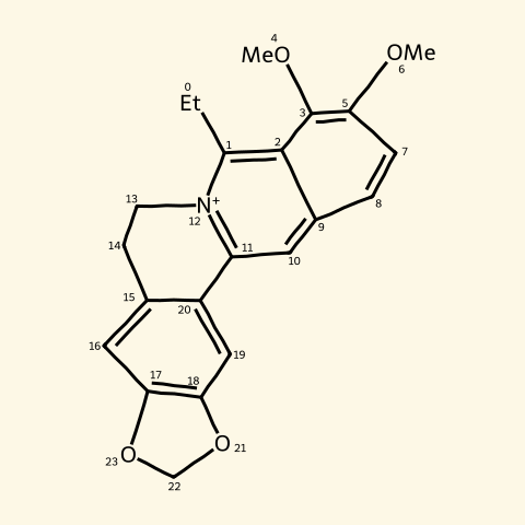 CCc1c2c(OC)c(OC)ccc2cc2[n+]1CCc1cc3c(cc1-2)OCO3